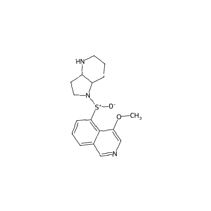 COc1cncc2cccc([S+]([O-])N3CCC4NCCCC43)c12